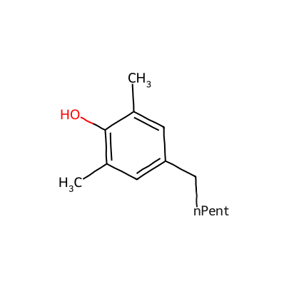 CCCCCCc1cc(C)c(O)c(C)c1